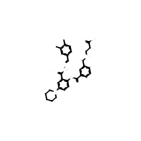 Cc1ccc(C=NNC(=O)c2cc(N3CCCCC3)ccc2NC(=O)c2cccc(CSCCC(=O)O)c2)cc1C